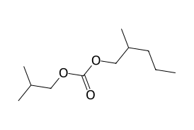 CCCC(C)COC(=O)OCC(C)C